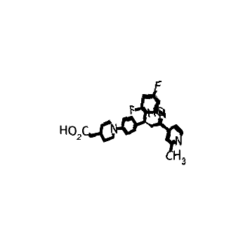 Cc1cc(/C(C[C@@H](c2ccc(N3CCC(CC(=O)O)CC3)cc2)c2ccc(F)cc2F)=N/O)ccn1